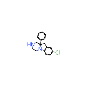 Clc1ccc2c(c1)C[C@]1(c3ccccc3)CNCCN21